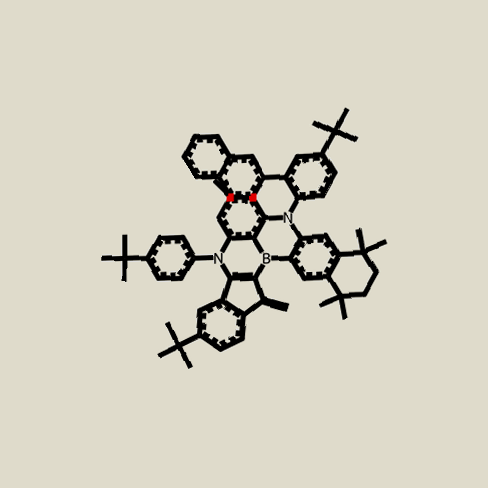 C=C1C2=C(c3cc(C(C)(C)C)ccc31)N(c1ccc(C(C)(C)C)cc1)c1cc(C)cc3c1B2c1cc2c(cc1N3c1ccc(C(C)(C)C)cc1-c1ccc3ccccc3c1)C(C)(C)CCC2(C)C